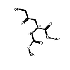 CCCCOC(=O)[C@H](CC(=O)CN=O)NC(=O)OC(C)(C)C